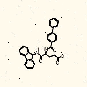 O=C(O)CC[C@H](NC(=O)c1ccc(-c2ccccc2)cc1)C(=O)NC1c2ccccc2-c2ccccc21